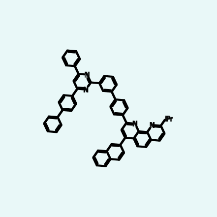 CC(C)c1ccc2ccc3c(-c4ccc5ccccc5c4)cc(-c4ccc(-c5cccc(-c6nc(-c7ccccc7)cc(-c7ccc(-c8ccccc8)cc7)n6)c5)cc4)nc3c2n1